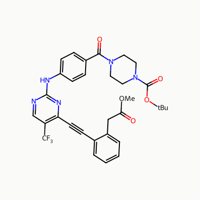 COC(=O)Cc1ccccc1C#Cc1nc(Nc2ccc(C(=O)N3CCN(C(=O)OC(C)(C)C)CC3)cc2)ncc1C(F)(F)F